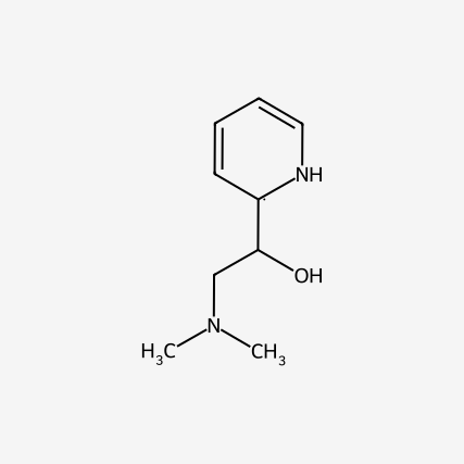 CN(C)CC(O)[C]1C=CC=CN1